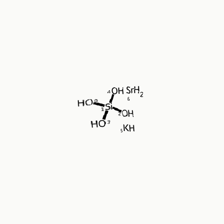 O[Si](O)(O)O.[KH].[SrH2]